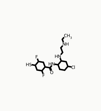 CCNCCNC1CC(Cl)CCC1NC(=O)C1CC(F)C(S)CC1F